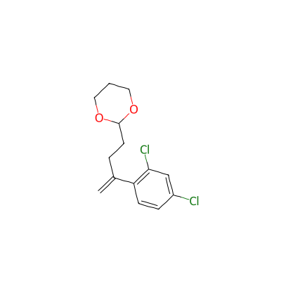 C=C(CCC1OCCCO1)c1ccc(Cl)cc1Cl